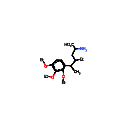 CCOc1ccc(C(C)C(CC)CC(N)C(=O)O)c(OCC)c1OCC